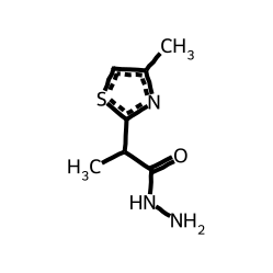 Cc1csc(C(C)C(=O)NN)n1